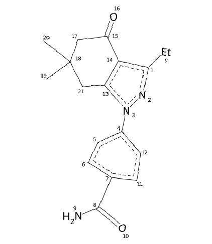 CCc1nn(-c2ccc(C(N)=O)cc2)c2c1C(=O)CC(C)(C)C2